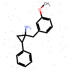 COc1cccc(CC2(N)CC2c2ccccc2)c1